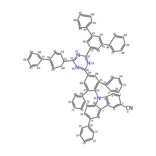 N#Cc1ccc2c(c1)c1cc(-c3ccccc3)ccc1n2-c1c(-c2ccccc2)cc(-c2nc(-c3cc(-c4ccccc4)cc(-c4ccccc4)c3)nc(C3C=CC(c4ccccc4)=CC3)n2)cc1-c1ccccc1